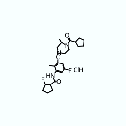 Cc1c(CN2CCN(C(=O)C3CCCC3)C(C)C2)cc(F)cc1NC(=O)C1CCCC1F.Cl